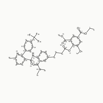 CCOC(=O)c1cc(OC)c(OC(=O)CCCc2ccc(NC(=O)c3ccc(C)nc3-c3ccc(C(F)(F)F)cc3)c(C(=O)N(C)C)c2)c(C(=O)OC)c1